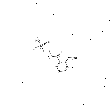 BCc1ccccc1C(=O)OCCS(=O)(=O)O